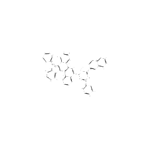 CN1C(c2ccc3ccccc3c2)=NC(c2ccccc2)=NC1c1cc2c3ccccc3c3c(c4ccccc4n3-c3ccccc3)c2c2ccccc12